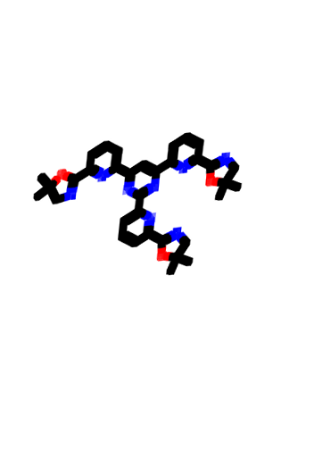 CC1(C)CN=C(c2cccc(-c3cc(-c4cccc(C5=NCC(C)(C)O5)n4)nc(-c4cccc(C5=NCC(C)(C)O5)n4)n3)n2)O1